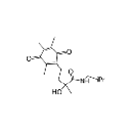 CC1=C(C)C(=O)C(CCC(C)(O)C(=O)NCC(C)C)=C(C)C1=O